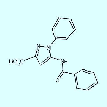 O=C(Nc1cc(C(=O)O)nn1-c1ccccc1)c1ccccc1